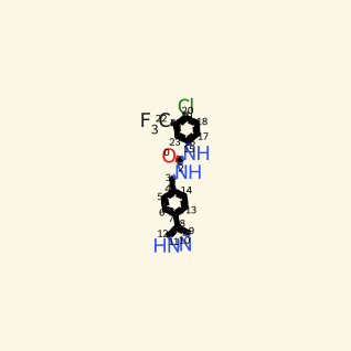 O=C(NCc1ccc(-c2cn[nH]c2)cc1)Nc1ccc(Cl)c(C(F)(F)F)c1